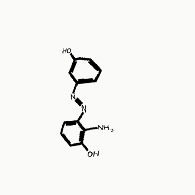 Nc1c(O)cccc1N=Nc1cccc(O)c1